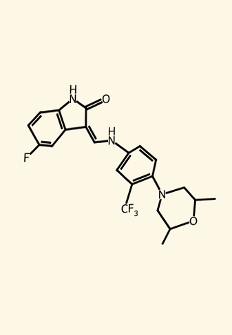 CC1CN(c2ccc(NC=C3C(=O)Nc4ccc(F)cc43)cc2C(F)(F)F)CC(C)O1